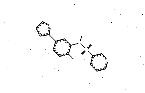 Cc1ccc(-c2cccs2)cc1N(C)S(=O)(=O)c1cccnc1